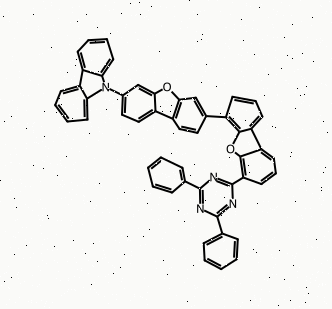 c1ccc(-c2nc(-c3ccccc3)nc(-c3cccc4c3oc3c(-c5ccc6c(c5)oc5cc(-n7c8ccccc8c8ccccc87)ccc56)cccc34)n2)cc1